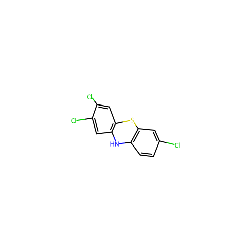 Clc1ccc2c(c1)Sc1cc(Cl)c(Cl)cc1N2